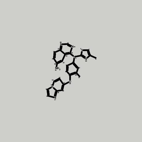 Cc1csc(N(c2ccc(Oc3ccn4ccnc4c3)c(C)c2)c2ncnc3ccc(N)cc23)n1